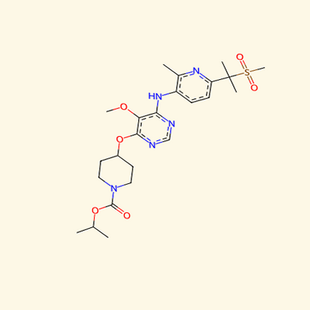 COc1c(Nc2ccc(C(C)(C)S(C)(=O)=O)nc2C)ncnc1OC1CCN(C(=O)OC(C)C)CC1